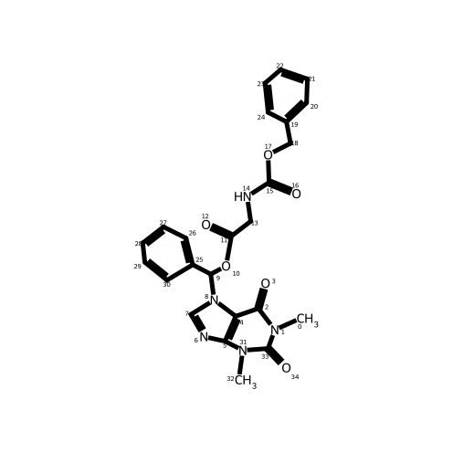 Cn1c(=O)c2c(ncn2C(OC(=O)CNC(=O)OCc2ccccc2)c2ccccc2)n(C)c1=O